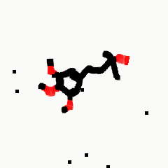 COc1cc(CCC(C)(C)O)cc(OC)c1OC